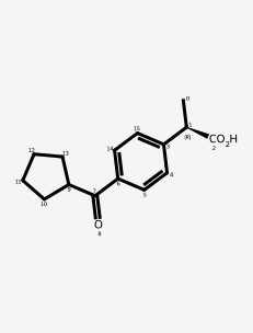 C[C@@H](C(=O)O)c1ccc(C(=O)C2CCCC2)cc1